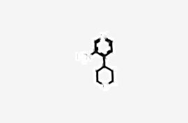 Nc1cnccc1C1CCOCC1